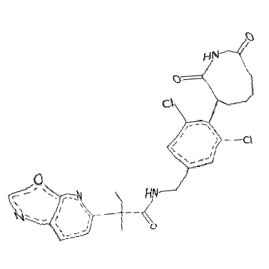 CC(C)(C(=O)NCc1cc(Cl)c(C2CCC(=O)NC2=O)c(Cl)c1)c1ccc2ncoc2n1